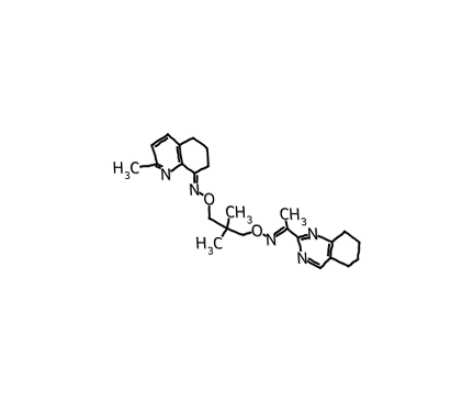 C/C(=N\OCC(C)(C)CO/N=C1\CCCc2ccc(C)nc21)c1ncc2c(n1)CCCC2